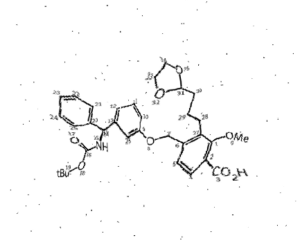 COc1c(C(=O)O)ccc(COc2cccc([C@@H](NC(=O)OC(C)(C)C)c3ccccc3)c2)c1CCCC1OCCO1